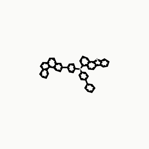 c1ccc(-c2ccc(N(c3ccc(-c4ccc5c(ccc6ccc7ccccc7c65)c4)cc3)c3cccc4c3ccc3c5ccccc5sc43)cc2)cc1